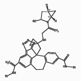 C=C(NCC)c1ccc2c(c1)CCc1cc(C(=O)NCC)ccc1C2(CC1(NCC(=C)N2C(C#N)C[C@@H]3C[C@@H]32)CC1)c1nnn[nH]1